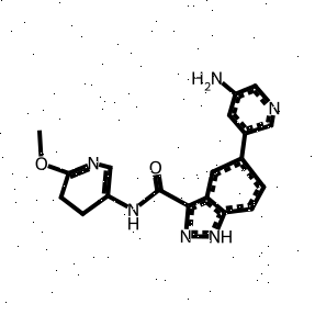 COC1=NC=C(NC(=O)c2n[nH]c3ccc(-c4cncc(N)c4)cc23)CC1